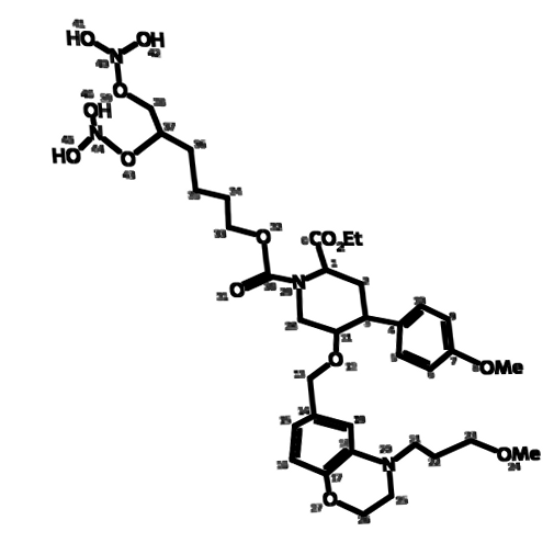 CCOC(=O)C1CC(c2ccc(OC)cc2)C(OCc2ccc3c(c2)N(CCCOC)CCO3)CN1C(=O)OCCCCC(CON(O)O)ON(O)O